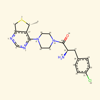 C[C@H]1SCc2ncnc(N3CCN(C(=O)[C@H](N)Cc4ccc(Cl)cc4)CC3)c21